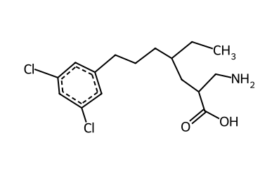 CCC(CCCc1cc(Cl)cc(Cl)c1)CC(CN)C(=O)O